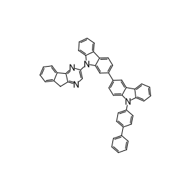 c1ccc(-c2ccc(-n3c4ccccc4c4cc(-c5ccc6c7ccccc7n(-c7cnc8c(n7)-c7ccccc7C8)c6c5)ccc43)cc2)cc1